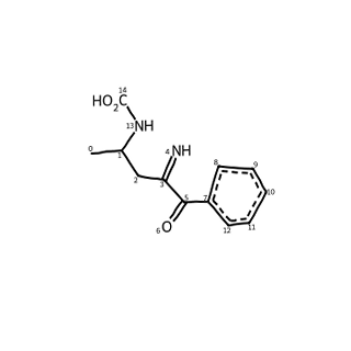 CC(CC(=N)C(=O)c1ccccc1)NC(=O)O